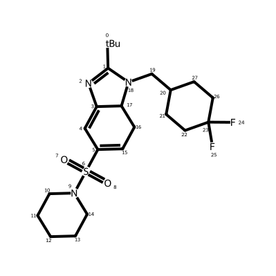 CC(C)(C)C1=NC2=CC(S(=O)(=O)N3CCCCC3)=CCC2N1CC1CCC(F)(F)CC1